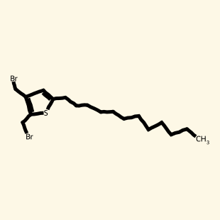 CCCCCCCCCCCCc1cc(CBr)c(CBr)s1